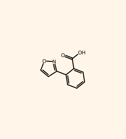 O=C(O)c1ccccc1-c1ccon1